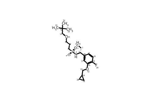 CC[C@@H](NS(=O)(=O)CCCOCC(C)(C)C)c1ccc(F)c(OCC2CC2)c1